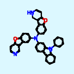 C1=Cc2oc3ccc(N(c4ccc5oc6ccncc6c5c4)c4ccc5c6ccccc6n(-c6ccccc6)c5c4)cc3c2CN1